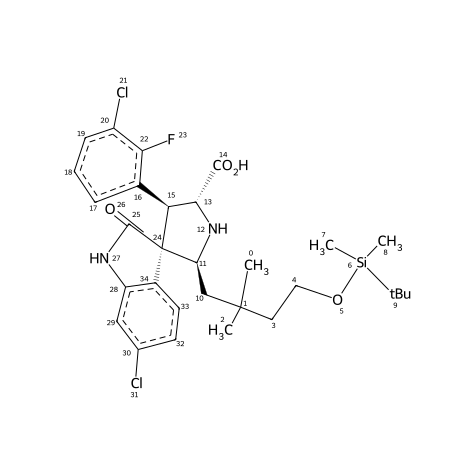 CC(C)(CCO[Si](C)(C)C(C)(C)C)C[C@@H]1N[C@@H](C(=O)O)[C@H](c2cccc(Cl)c2F)[C@]12C(=O)Nc1cc(Cl)ccc12